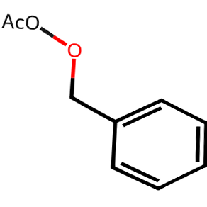 CC(=O)OOCc1ccccc1